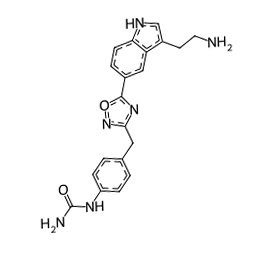 NCCc1c[nH]c2ccc(-c3nc(Cc4ccc(NC(N)=O)cc4)no3)cc12